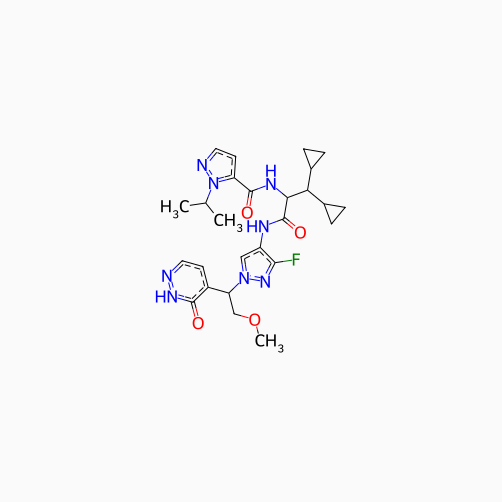 COCC(c1ccn[nH]c1=O)n1cc(NC(=O)C(NC(=O)c2ccnn2C(C)C)C(C2CC2)C2CC2)c(F)n1